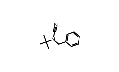 CC(C)(C)N(C#N)Cc1ccccc1